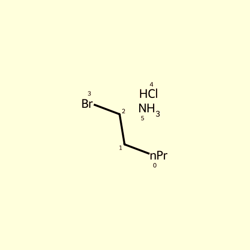 CCCCCBr.Cl.N